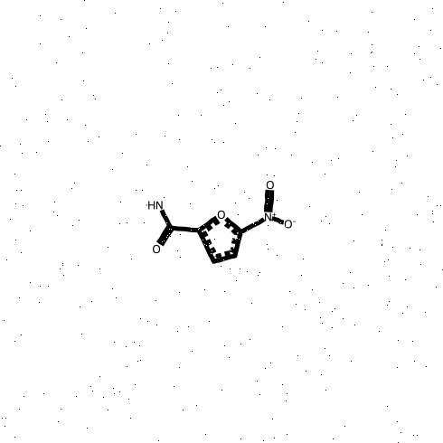 [NH]C(=O)c1ccc([N+](=O)[O-])o1